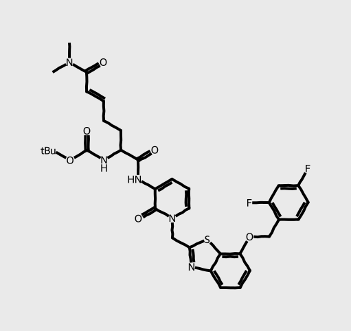 CN(C)C(=O)/C=C/CCC(NC(=O)OC(C)(C)C)C(=O)Nc1cccn(Cc2nc3cccc(OCc4ccc(F)cc4F)c3s2)c1=O